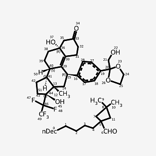 CCCCCCCCCCCCCCC1(C=O)CC(C)(C)C1.C[C@]12C[C@H](c3ccc(C4(CO)OCCO4)cc3)C3=C4CCC(=O)C[C@]4(O)CC[C@H]3[C@@H]1CC[C@@]2(O)C(F)(F)C(F)(F)F